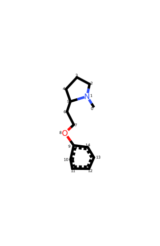 CN1CCCC1CCOc1ccccc1